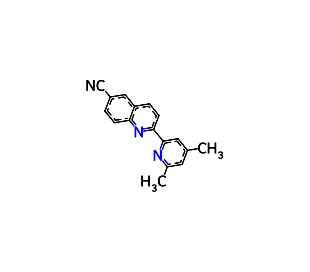 Cc1cc(C)nc(-c2ccc3cc(C#N)ccc3n2)c1